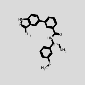 COc1cccc([C@@H](CN)NC(=O)c2cccc(-c3ccc4[nH]nc(C)c4c3)c2)c1